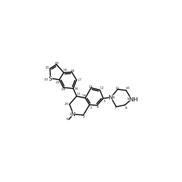 CN1Cc2cc(N3CCNCC3)ccc2C(c2ccc3ccsc3c2)C1